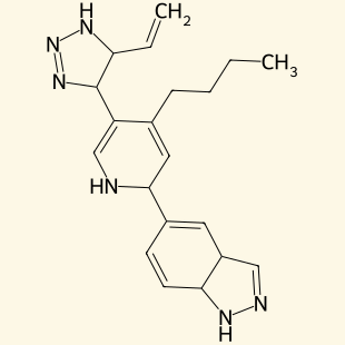 C=CC1NN=NC1C1=CNC(C2=CC3C=NNC3C=C2)C=C1CCCC